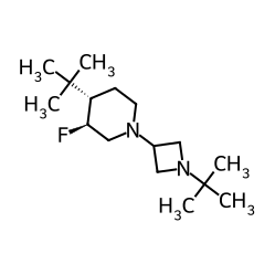 CC(C)(C)[C@@H]1CCN(C2CN(C(C)(C)C)C2)C[C@H]1F